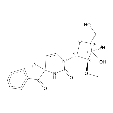 [2H][C@@]1(O)[C@@H](CO)O[C@@H](N2C=CC(N)(C(=O)c3ccccc3)NC2=O)[C@@H]1OC